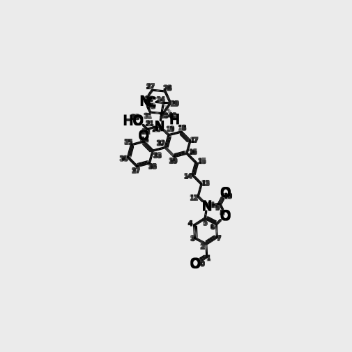 O=Cc1ccc2c(c1)oc(=O)n2CC/C=C/c1ccc(N(C(=O)O)[C@H]2CN3CCC2CC3)c(-c2ccccc2)c1